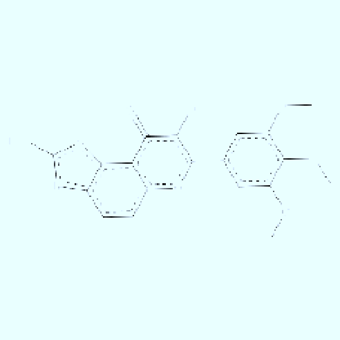 COc1cc(-c2oc3ccc4nc(N)sc4c3c(=O)c2O)cc(OC)c1OC